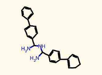 NC(NC(N)c1ccc(-c2ccccc2)cc1)c1ccc(C2=CCCC=C2)cc1